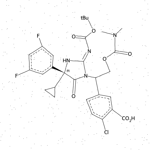 CN(C)C(=O)OCC(c1ccc(Cl)c(C(=O)O)c1)N1C(=O)[C@](c2cc(F)cc(F)c2)(C2CC2)NC1=NC(=O)OC(C)(C)C